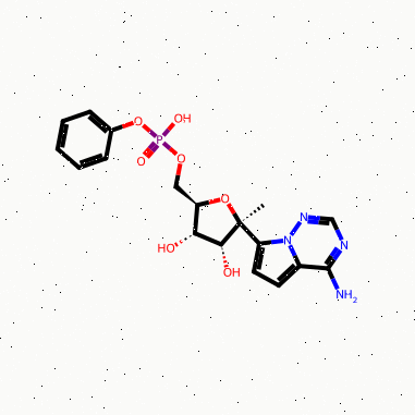 C[C@@]1(c2ccc3c(N)ncnn23)O[C@H](COP(=O)(O)Oc2ccccc2)[C@@H](O)[C@H]1O